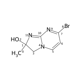 CC1(O)CN2C=CC(Br)=NC2=N1